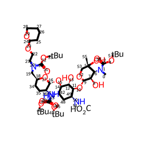 CN(C(=O)OC(C)(C)C)[C@@H]1[C@@H](O)[C@@H](O[C@@H]2[C@@H](O)[C@H](O[C@H]3O[C@H](CN(CCOC4CCCCO4)C(=O)OC(C)(C)C)CC[C@H]3NC(=O)OC(C)(C)C)[C@@H](NC(=O)OC(C)(C)C)C[C@H]2NC(=O)O)OC[C@]1(C)O